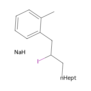 CCCCCCCCC(I)Cc1ccccc1C.[NaH]